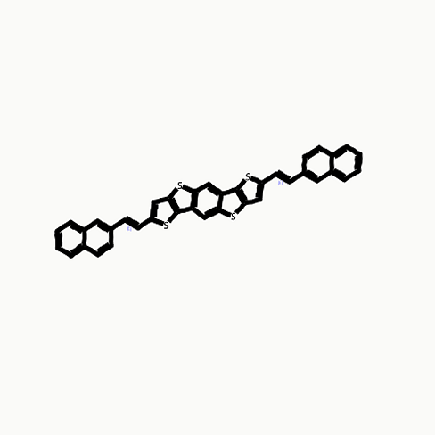 C(=C\c1cc2sc3cc4c(cc3c2s1)sc1cc(/C=C/c2ccc3ccccc3c2)sc14)/c1ccc2ccccc2c1